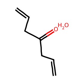 C=CCC(=O)CC=C.O